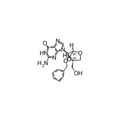 Nc1nc2c(ncn2[C@@H]2O[C@@]3(CO)CO[C@@H]2[C@@H]3OCc2ccccc2)c(=O)[nH]1